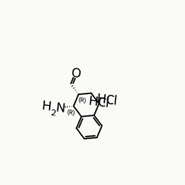 Cl.Cl.N[C@H]1c2ccccc2CC[C@H]1C=O